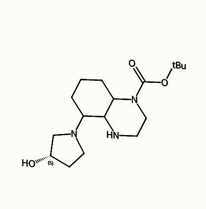 CC(C)(C)OC(=O)N1CCNC2C(N3CC[C@H](O)C3)CCCC21